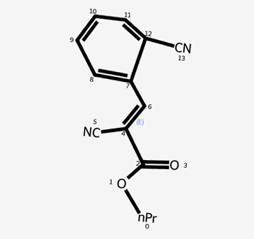 CCCOC(=O)/C(C#N)=C/c1ccccc1C#N